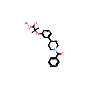 CC(C)OC(=O)C(C)(C)Oc1cccc(C2CCN(C(=O)c3ccccc3)CC2)c1